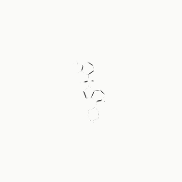 Cc1c(Cl)cccc1S(=O)(=O)n1ccc2c(N3CCNCC3)nccc21